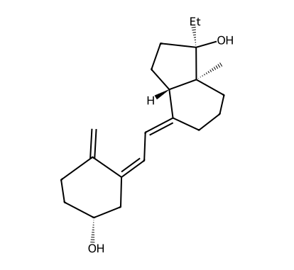 C=C1CC[C@@H](O)C/C1=C/C=C1\CCC[C@@]2(C)[C@H]1CC[C@]2(O)CC